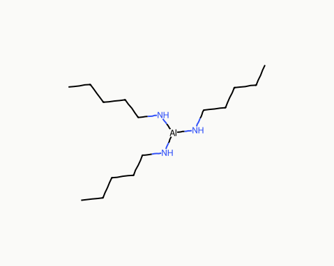 CCCCC[NH][Al]([NH]CCCCC)[NH]CCCCC